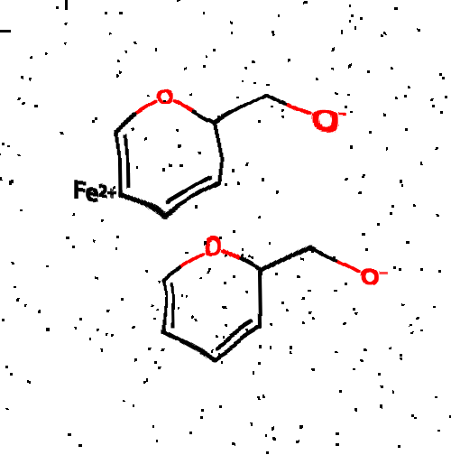 [Fe+2].[O-]CC1C=CC=CO1.[O-]CC1C=CC=CO1